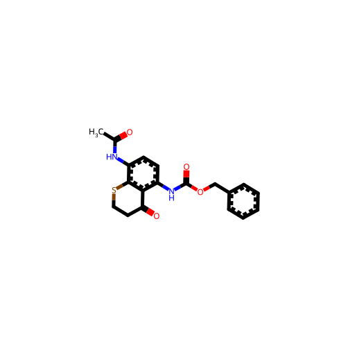 CC(=O)Nc1ccc(NC(=O)OCc2ccccc2)c2c1SCCC2=O